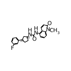 Cn1c(=O)ccc2c(NC(=O)N[C@@H]3CC[C@@H](c4cccc(F)c4)C3)cccc21